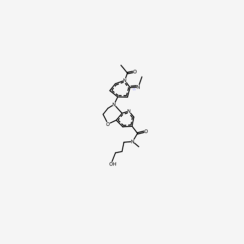 C/N=c1/cc(N2CCOc3cc(C(=O)N(C)CCCO)cnc32)ccn1C(C)=O